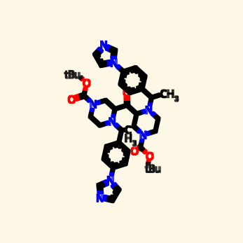 CC(c1ccc(-n2ccnc2)cc1)N1CCN(C(=O)OC(C)(C)C)CC1C(=O)C1CN(C(=O)OC(C)(C)C)CCN1C(C)c1ccc(-n2ccnc2)cc1